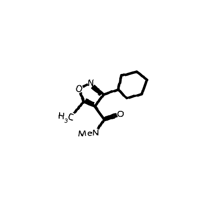 CNC(=O)c1c(C2CCCCC2)noc1C